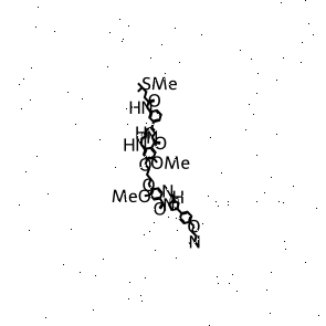 COc1cc2c(cc1OCCCOc1cc3c(cc1OC)C(=O)N1C=C(c4cccc(NC(=O)CCC(C)(C)SC)c4)C[C@H]1CN3)N=C[C@@H]1CC(c3ccc(OCCN(C)C)cc3)=CN1C2=O